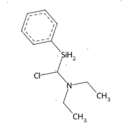 CCN(CC)C(Cl)[SiH2]c1ccccc1